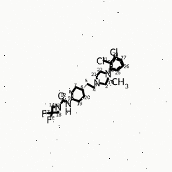 C[C@@H]1CN(CC[C@H]2CC[C@H](NC(=O)N3CC(F)(F)C3)CC2)CCN1c1cccc(Cl)c1Cl